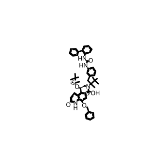 CC(C)(C)C(C)(Cc1cccc(NC(=O)Nc2ccccc2-c2ccccc2)c1)N(C[C@H](O[Si](C)(C)C(C)(C)C)c1ccc(OCc2ccccc2)c2[nH]c(=O)ccc12)C(=O)O